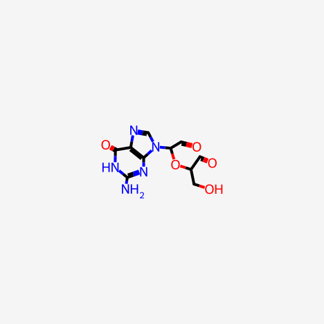 Nc1nc2c(ncn2C(C=O)OC(C=O)CO)c(=O)[nH]1